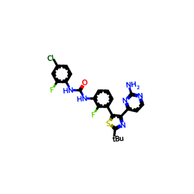 CC(C)(C)c1nc(-c2ccnc(N)n2)c(-c2cccc(NC(=O)Nc3ccc(Cl)cc3F)c2F)s1